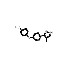 Cc1c[nH]nc1-c1ccc(Sc2ccc([N+](=O)[O-])cc2)cc1